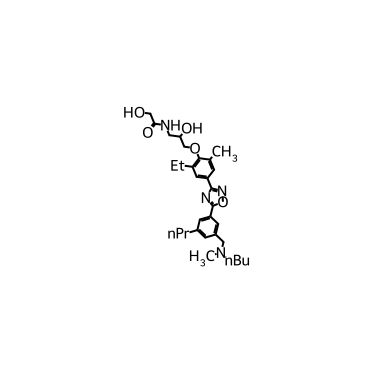 CCCCN(C)Cc1cc(CCC)cc(-c2nc(-c3cc(C)c(OCC(O)CNC(=O)CO)c(CC)c3)no2)c1